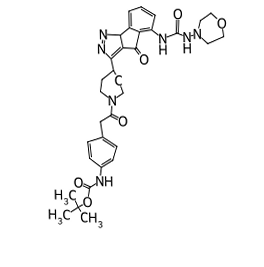 CC(C)(C)OC(=O)Nc1ccc(CC(=O)N2CCC(C3=C4C(=O)c5c(NC(=O)NN6CCOCC6)cccc5C4N=N3)CC2)cc1